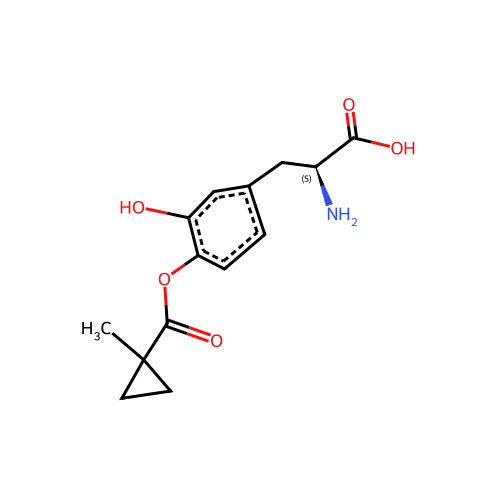 CC1(C(=O)Oc2ccc(C[C@H](N)C(=O)O)cc2O)CC1